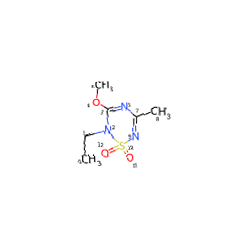 CCN1C(OC)=NC(C)=NS1(=O)=O